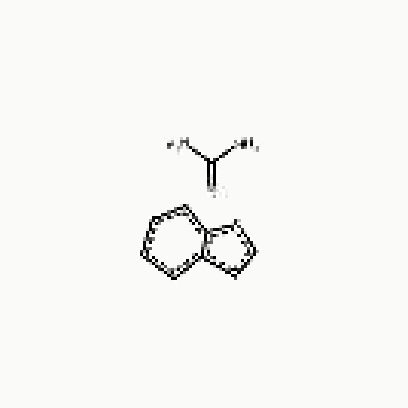 N=C(N)N.c1ccc2sccc2c1